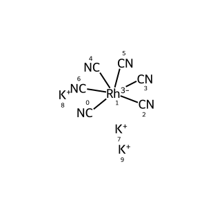 N#[C][Rh-3]([C]#N)([C]#N)([C]#N)([C]#N)[C]#N.[K+].[K+].[K+]